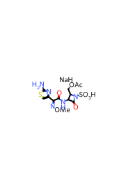 CO/N=C(\C(=O)NC1C(=O)N(S(=O)(=O)O)C1COC(C)=O)c1csc(N)n1.[NaH]